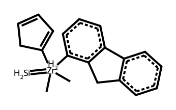 [CH3][ZrH2]([CH3])(=[SiH2])([C]1=CC=CC1)[c]1cccc2c1Cc1ccccc1-2